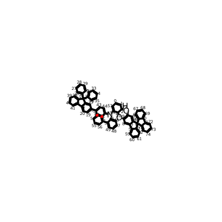 C1=C[C@H]2Oc3cc4c(cc3OC2C(N(c2ccc(-c3ccc5c(c3)C(c3ccccc3)(c3ccccc3)c3ccccc3-5)cc2)c2ccccc2-c2ccccc2)=C1)-c1ccccc1C41c2ccccc2-c2ccccc21